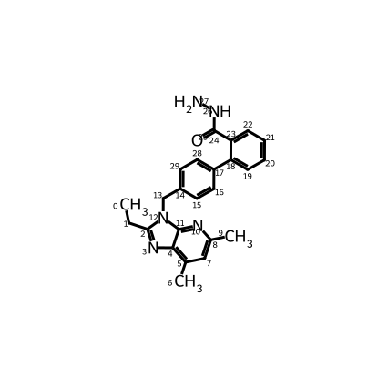 CCc1nc2c(C)cc(C)nc2n1Cc1ccc(-c2ccccc2C(=O)NN)cc1